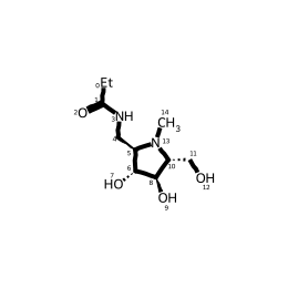 CCC(=O)NC[C@@H]1[C@@H](O)[C@H](O)[C@@H](CO)N1C